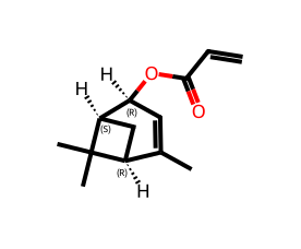 C=CC(=O)O[C@H]1C=C(C)[C@@H]2C[C@H]1C2(C)C